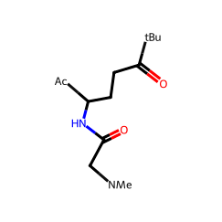 CNCC(=O)NC(CCC(=O)C(C)(C)C)C(C)=O